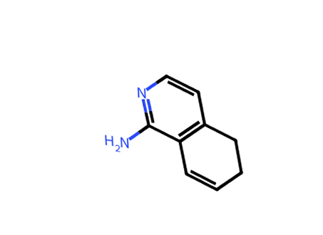 Nc1nccc2c1C=CCC2